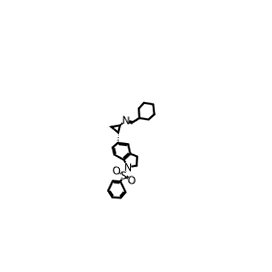 O=S(=O)(c1ccccc1)N1CCc2cc([C@@H]3C[C@H]3N=CC3CCCCC3)ccc21